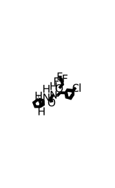 O=C(NCC(OCC(F)(F)F)c1cccc(Cl)c1)NC1C[C@H]2CC[C@@H]1C2